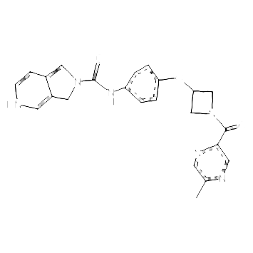 Cc1cnc(C(=O)N2CC(Oc3ccc(NC(=O)N4C=C5C=CNC=C5C4)cc3)C2)cn1